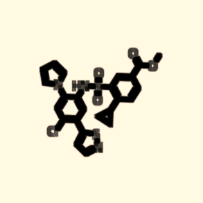 COC(=O)c1ccc(C2CC2)c(S(=O)(=O)Nc2cc(-c3ccns3)c(Cl)cc2-n2cccc2)c1